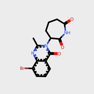 Cc1nc2c(Br)cccc2c(=O)n1C1CCCC(=O)NC1=O